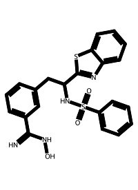 N=C(NO)c1cccc(CC(NS(=O)(=O)c2ccccc2)c2nc3ccccc3s2)c1